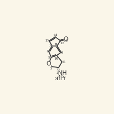 CCCN[C@@H]1COc2cc3c(cc2C1)C(=O)C=C3